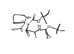 CC(NC(=O)OC(C)(C)C)C(=O)N(C(=O)OC(C)(C)C)[C@]1(C(=O)O)CCCN1